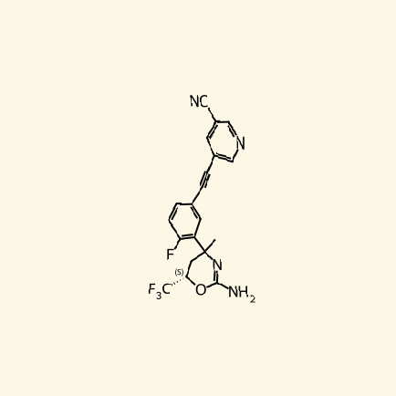 CC1(c2cc(C#Cc3cncc(C#N)c3)ccc2F)C[C@@H](C(F)(F)F)OC(N)=N1